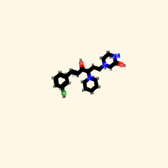 O=C1CN(CCC(C(=O)/C=C/c2cccc(Cl)c2)N2CCCCC2)CCN1